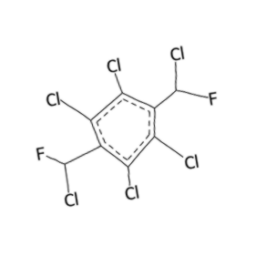 FC(Cl)c1c(Cl)c(Cl)c(C(F)Cl)c(Cl)c1Cl